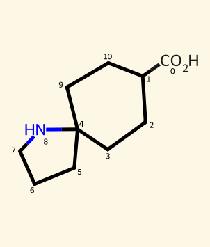 O=C(O)C1CCC2(CCCN2)CC1